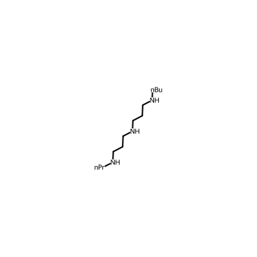 CCCCNCCCNCCCNCCC